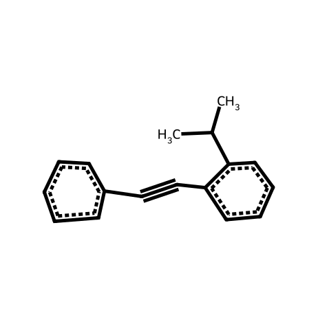 CC(C)c1ccccc1C#Cc1ccccc1